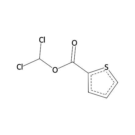 O=C(OC(Cl)Cl)c1cccs1